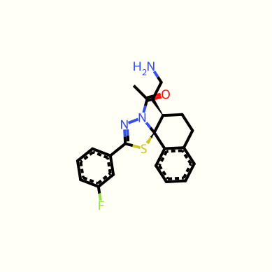 CC(=O)N1N=C(c2cccc(F)c2)S[C@@]12c1ccccc1CC[C@@H]2CCN